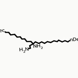 CCCCCCCCCCCCCCCCCCCCCCC(N)(CCN)CCCCCCCCCCCCCCCCCCCC